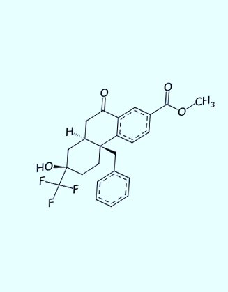 COC(=O)c1ccc2c(c1)C(=O)C[C@@H]1C[C@@](O)(C(F)(F)F)CC[C@@]21Cc1ccccc1